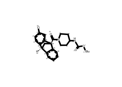 CC(C)(C)OC(=O)NC1CCN(C(=O)[C@]23C[C@@H](c4ccccc42)c2ccc(Cl)cc23)CC1